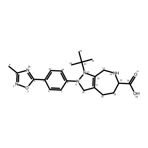 Cc1noc(-c2ccc(N3CC4=C(CNC(C(=O)O)CC4)N3C(C)(C)C)cc2)n1